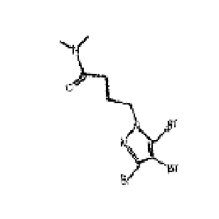 CN(C)C(=O)CCCn1nc(Br)c(Br)c1Br